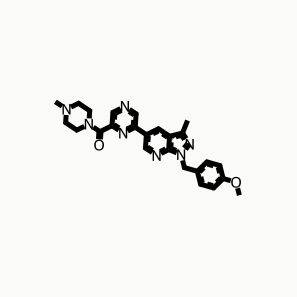 COc1ccc(Cn2nc(C)c3cc(-c4cncc(C(=O)N5CCN(C)CC5)n4)cnc32)cc1